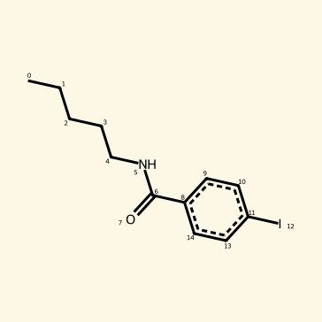 CCCCCNC(=O)c1ccc(I)cc1